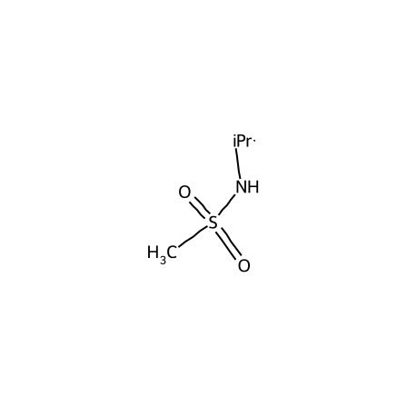 C[C](C)NS(C)(=O)=O